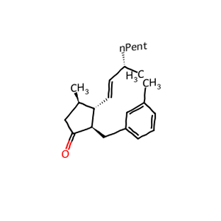 CCCCC[C@H](C)/C=C/[C@H]1[C@H](C)CC(=O)[C@@H]1Cc1cccc(C)c1